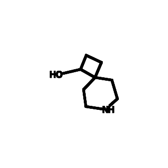 OC1CCC12CCNCC2